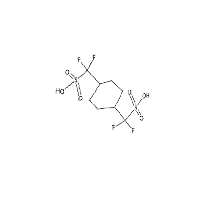 O=S(=O)(O)C(F)(F)C1CCC(C(F)(F)S(=O)(=O)O)CC1